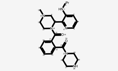 CC(C)Nc1cccnc1C1CN(C)CCN1C(=O)c1ccccc1C(=O)N1CCNCC1